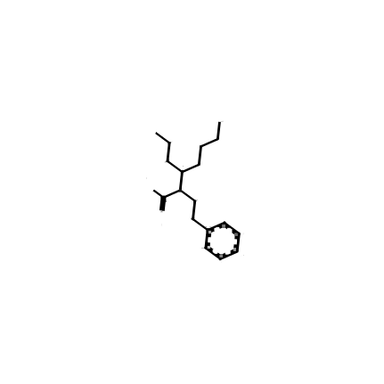 CCCCC(CCC)C(CCc1ccccc1)C(=O)O